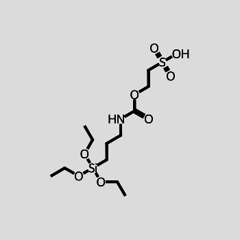 CCO[Si](CCCNC(=O)OCCS(=O)(=O)O)(OCC)OCC